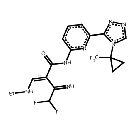 CCN/C=C(\C(=N)C(F)F)C(=O)Nc1cccc(-c2nncn2C2(C(F)(F)F)CC2)n1